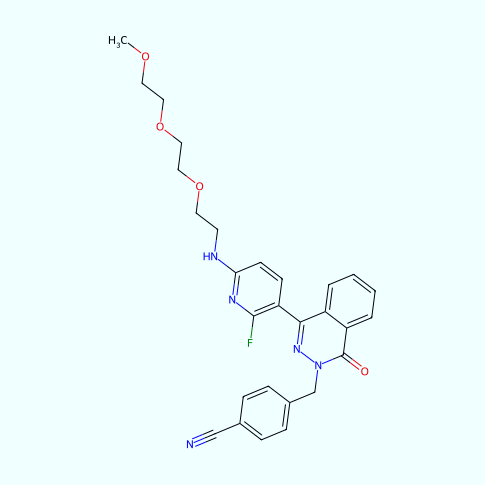 COCCOCCOCCNc1ccc(-c2nn(Cc3ccc(C#N)cc3)c(=O)c3ccccc23)c(F)n1